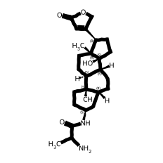 CC(N)C(=O)N[C@H]1CC[C@@]2(C)[C@H](CC[C@@H]3[C@@H]2CC[C@]2(C)[C@@H](C4=CC(=O)OC4)CC[C@]32O)C1